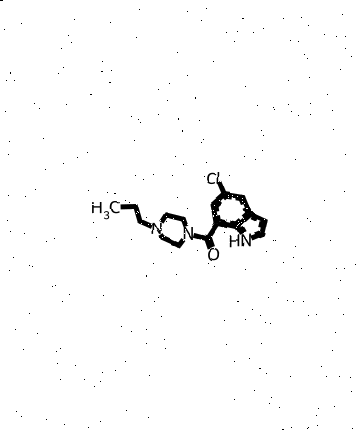 CCCN1CCN(C(=O)c2cc(Cl)cc3cc[nH]c23)CC1